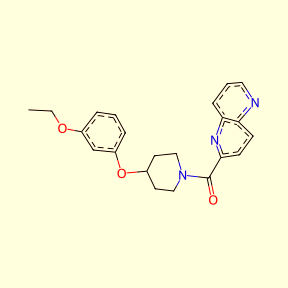 CCOc1cccc(OC2CCN(C(=O)c3ccc4ncccc4n3)CC2)c1